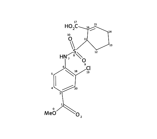 COC(=O)c1ccc(NS(=O)(=O)C2CCCC=C2C(=O)O)c(Cl)c1